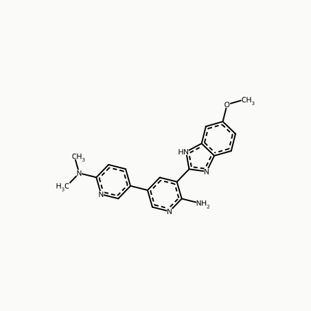 COc1ccc2nc(-c3cc(-c4ccc(N(C)C)nc4)cnc3N)[nH]c2c1